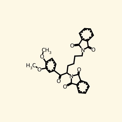 COc1ccc(C(=O)C(CCCCN2C(=O)c3ccccc3C2=O)N2C(=O)c3ccccc3C2=O)cc1OC